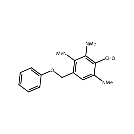 CNc1cc(COc2ccccc2)c(NC)c(NC)c1C=O